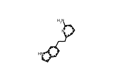 Nc1cccc(CCc2ccc3cc[nH]c3c2)n1